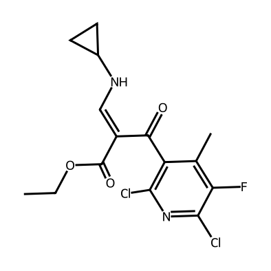 CCOC(=O)/C(=C/NC1CC1)C(=O)c1c(Cl)nc(Cl)c(F)c1C